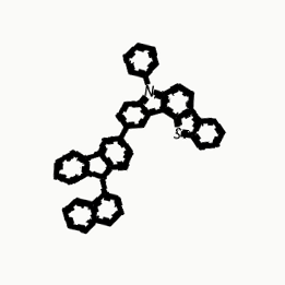 c1ccc(-n2c3ccc(-c4ccc5c(c4)-c4ccccc4C5c4cccc5ccccc45)cc3c3c4sc5ccccc5c4ccc32)cc1